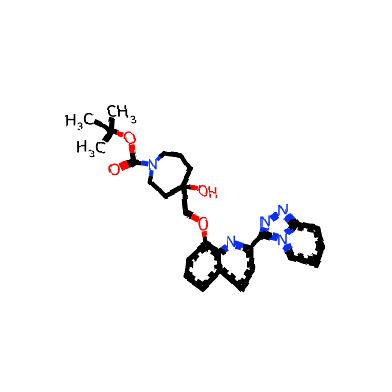 CC(C)(C)OC(=O)N1CCCC(O)(COc2cccc3ccc(-c4nnc5ccccn45)nc23)CC1